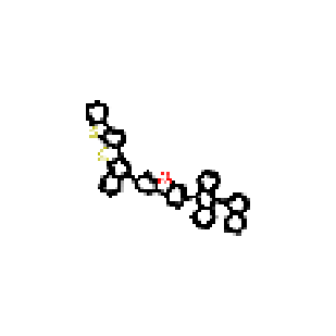 c1ccc2c(-c3c4ccccc4c(-c4ccc5c(c4)oc4cc(-c6cc7c8ccc9c%10ccccc%10sc9c8sc7c7ccccc67)ccc45)c4ccccc34)cccc2c1